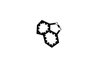 c1cc2c3c(cccc3c1)SO2